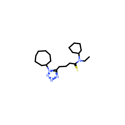 CCN(C(=S)CCCc1nnnn1C1CCCCCCC1)C1CCCCC1